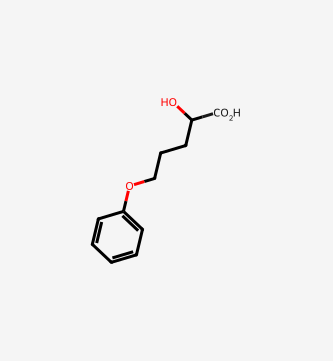 O=C(O)C(O)CCCOc1ccccc1